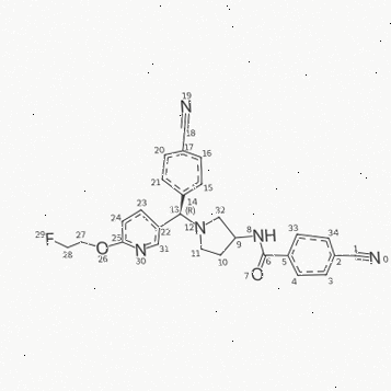 N#Cc1ccc(C(=O)NC2CCN([C@H](c3ccc(C#N)cc3)c3ccc(OCCF)nc3)C2)cc1